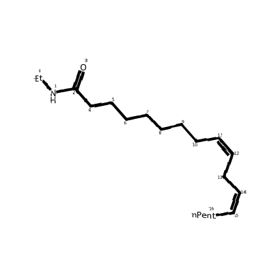 C[CH]NC(=O)CCCCCCC/C=C\C/C=C\CCCCC